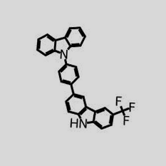 FC(F)(F)c1ccc2[nH]c3ccc(-c4ccc(-n5c6ccccc6c6ccccc65)cc4)cc3c2c1